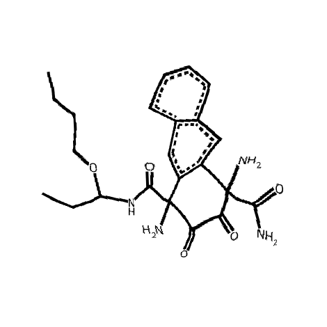 CCCCOC(CC)NC(=O)C1(N)C(=O)C(=O)C(N)(C(N)=O)c2cc3ccccc3cc21